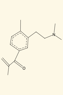 C=C(C)C(=O)c1ccc(C)c(CCN(C)C)c1